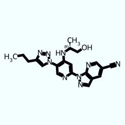 CCCc1cn(-c2cnc(-n3ncc4cc(C#N)cnc43)cc2N[C@H](C)CO)nn1